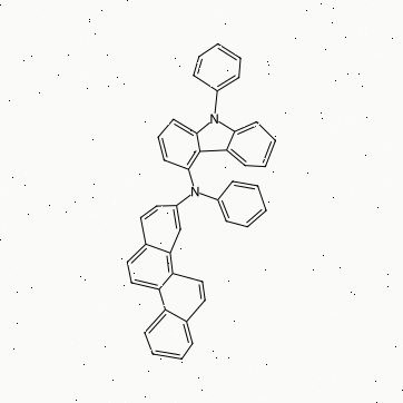 c1ccc(N(c2ccc3ccc4c5ccccc5ccc4c3c2)c2cccc3c2c2ccccc2n3-c2ccccc2)cc1